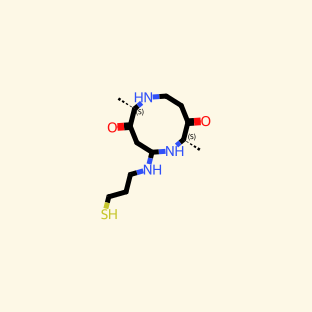 C[C@@H]1NCCC(=O)[C@H](C)NC(NCCCS)CC1=O